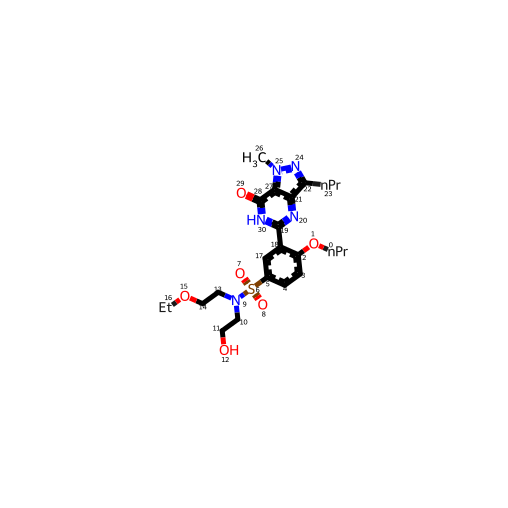 CCCOc1ccc(S(=O)(=O)N(CCO)CCOCC)cc1-c1nc2c(CCC)nn(C)c2c(=O)[nH]1